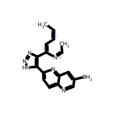 Bc1cnc2ccc(-c3[nH]nnc3C(=C/C=C\C)/N=C\C)nc2c1